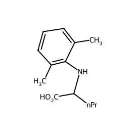 CCCC(Nc1c(C)cccc1C)C(=O)O